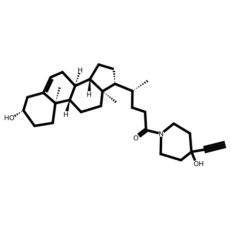 C#CC1(O)CCN(C(=O)CC[C@@H](C)[C@H]2CC[C@H]3[C@@H]4CC=C5C[C@@H](O)CC[C@]5(C)[C@H]4CC[C@]23C)CC1